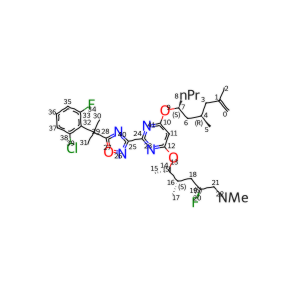 C=C(C)C[C@@H](C)C[C@H](CCC)Oc1cc(O[C@@H](C)[C@@H](C)C[C@H](F)CNC)nc(-c2noc(C(C)(C)c3c(F)cccc3Cl)n2)n1